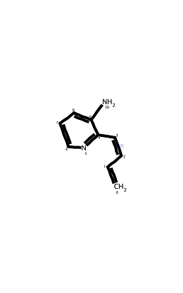 C=C/C=C\c1ncccc1N